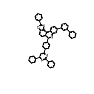 c1ccc(-c2cccc(-c3ccc4c(c3)nc(-c3ccc(-c5cc(-c6ccccc6)nc(-c6ccccc6)n5)cc3)c3ccc5oc(-c6ccccc6)nc5c34)c2)cc1